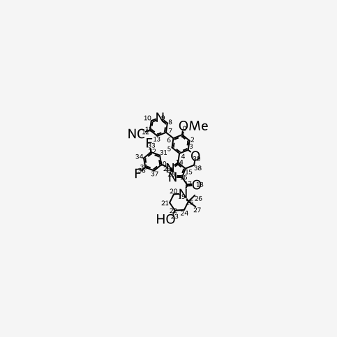 COc1cc2c(cc1-c1cncc(C#N)c1)-c1c(c(C(=O)N3CCC(O)CC3(C)C)nn1-c1cc(F)cc(F)c1)CO2